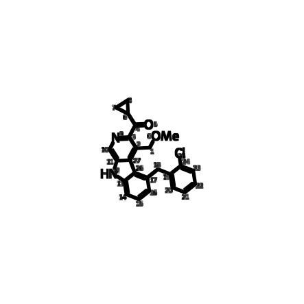 COCc1c(C(=O)C2CC2)ncc2[nH]c3cccc(Cc4ccccc4Cl)c3c12